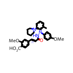 COc1ccc(N(NC(=O)/C=C/c2ccc(C(=O)O)c(OC)c2)c2c(C)cccc2N2CCCCC2)cc1